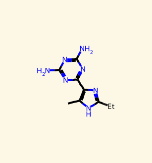 CCc1nc(-c2nc(N)nc(N)n2)c(C)[nH]1